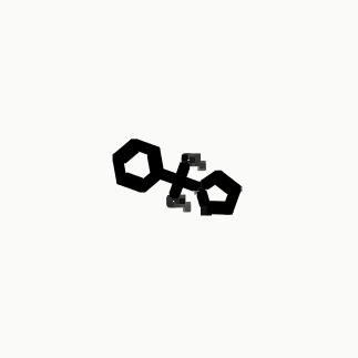 CC(C)(c1ccccc1)n1c[c]cn1